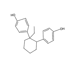 CCC1(c2ccc(O)cc2)CCCCC1c1ccc(O)cc1